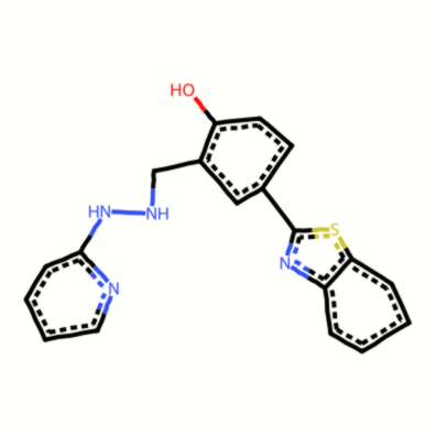 Oc1ccc(-c2nc3ccccc3s2)cc1CNNc1ccccn1